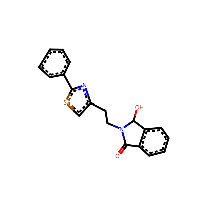 O=C1c2ccccc2C(O)N1CCc1csc(-c2ccccc2)n1